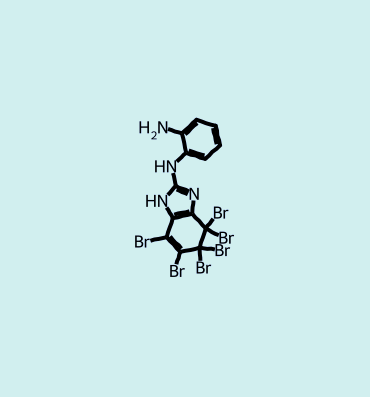 Nc1ccccc1Nc1nc2c([nH]1)C(Br)=C(Br)C(Br)(Br)C2(Br)Br